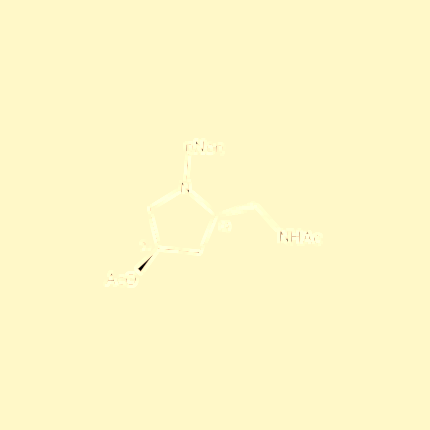 CCCCCCCCCN1C[C@H](OC(C)=O)C[C@H]1CNC(C)=O